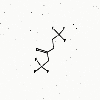 O=C(CCC(F)(F)F)CC(F)(F)F